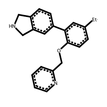 [CH2][CH]c1ccc(OCc2ccccn2)c(-c2ccc3c(c2)CNC3)c1